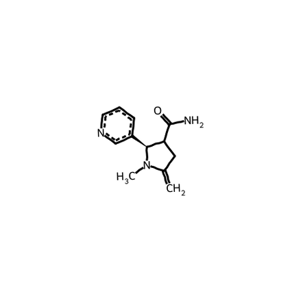 C=C1CC(C(N)=O)[C@H](c2cccnc2)N1C